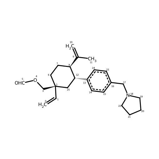 C=C[C@]1(COC=O)CC[C@@H](C(=C)C)[C@H](c2ccc(CN3CCCC3)cc2)C1